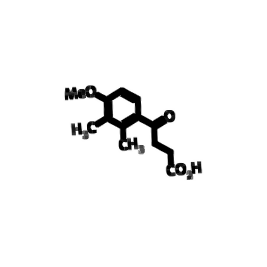 COc1ccc(C(=O)CCC(=O)O)c(C)c1C